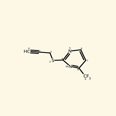 C#CCSc1nccc(C(F)(F)F)n1